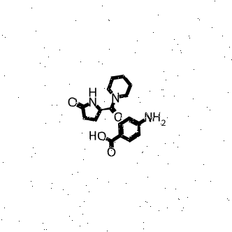 Nc1ccc(C(=O)O)cc1.O=C1CC[C@H](C(=O)N2CCCCC2)N1